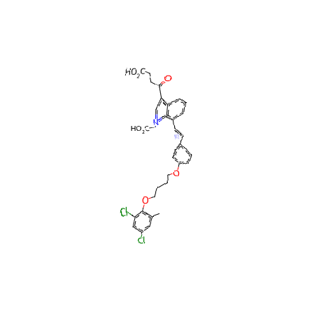 Cc1cc(Cl)cc(Cl)c1OCCCCOc1ccc(/C=C/c2cccc3c(C(=O)CCC(=O)O)cn(CC(=O)O)c23)cc1